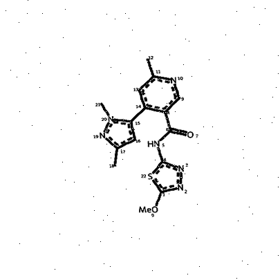 COc1nnc(NC(=O)c2cnc(C)cc2-c2cc(C)nn2C)s1